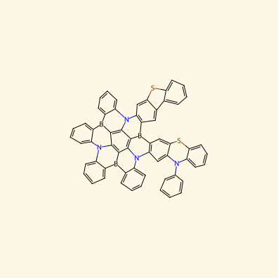 c1ccc(N2c3ccccc3Sc3cc4c(cc32)N2c3ccccc3B3c5ccccc5N5c6ccccc6B6c7ccccc7N7c8cc9sc%10ccccc%10c9cc8B4c4c2c3c5c6c47)cc1